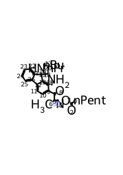 CCCCCC(=O)O/N=C(/C)C(=O)c1ccc2c(c1)C(NCCCC)(C(N)CCC)c1ccccc1-2